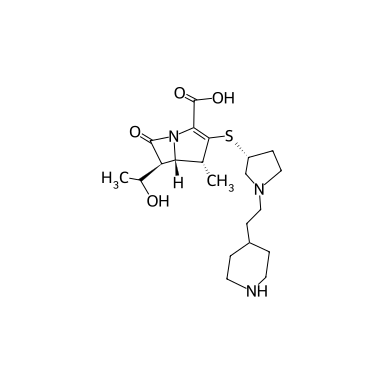 CC(O)[C@H]1C(=O)N2C(C(=O)O)=C(S[C@@H]3CCN(CCC4CCNCC4)C3)[C@H](C)[C@H]12